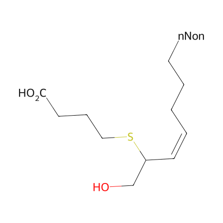 CCCCCCCCCCCC/C=C\C(CO)SCCCC(=O)O